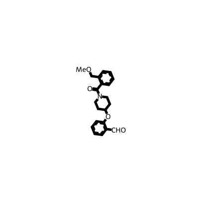 COCc1ccccc1C(=O)N1CCC(Oc2ccccc2C=O)CC1